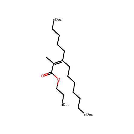 CCCCCCCCCCCCCCCCC(CCCCCCCCCCCCCC)=C(C)C(=O)OCCCCCCCCCCCC